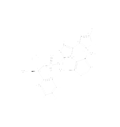 COc1cccc(OC)c1-n1c(NS(=O)(=O)[C@@H](C)[C@H](OC)c2ncc(Cl)cn2)nnc1-c1cc(C)on1